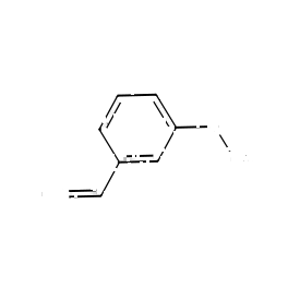 C=Cc1cccc(OOC(C)=O)c1